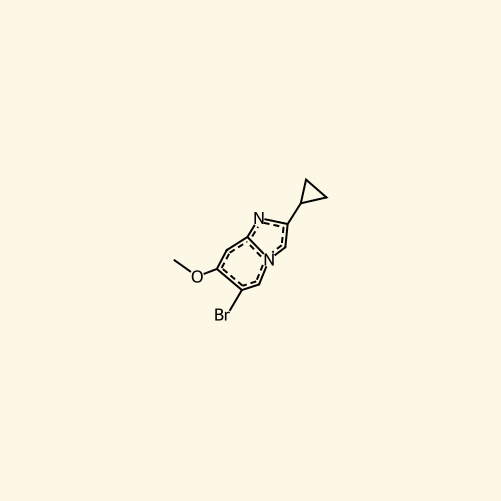 COc1cc2nc(C3CC3)cn2cc1Br